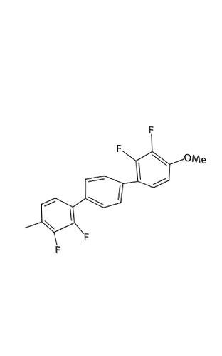 COc1ccc(-c2ccc(-c3ccc(C)c(F)c3F)cc2)c(F)c1F